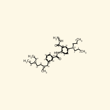 CCCN(CCC)c1ccc(NC(=O)c2cccc(CN(C)CCN(CC)CC)c2)c(C(=O)NN)c1